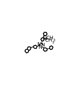 C[Si]1(C)c2ccccc2-c2ccc(-c3nc(-c4ccc(-c5ccc6ccccc6c5)cc4)nc(-c4cccc(-c5ccccc5)c4)n3)cc21